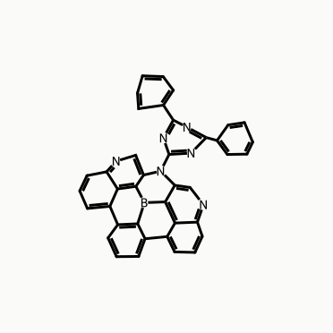 c1ccc(-c2nc(-c3ccccc3)nc(N3c4cnc5cccc6c5c4B4c5c-6cccc5-c5cccc6ncc3c4c56)n2)cc1